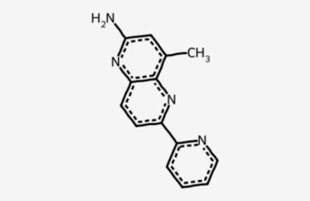 Cc1cc(N)nc2ccc(-c3ccccn3)nc12